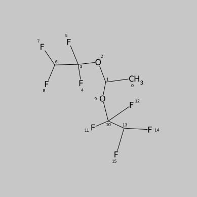 CC(OC(F)(F)C(F)F)OC(F)(F)C(F)F